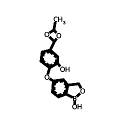 CC1OC(c2ccc(Oc3ccc4c(c3)COB4O)c(O)c2)O1